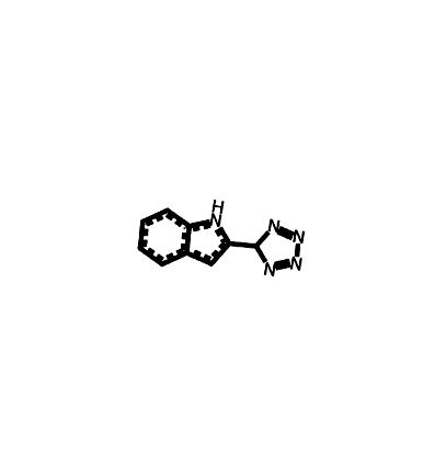 c1ccc2[nH]c(C3N=NN=N3)cc2c1